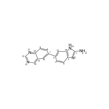 Nc1nc2ccc(-c3ccc4ncncc4c3)cc2[nH]1